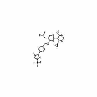 COc1ncnc(C2CC2)c1-c1ncc(CC(F)F)c(OCc2ccc(-c3nc(C(F)(F)F)cn3C)cc2)n1